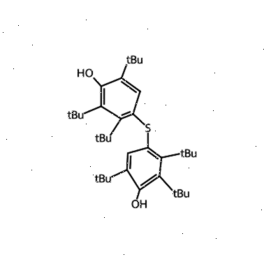 CC(C)(C)c1cc(Sc2cc(C(C)(C)C)c(O)c(C(C)(C)C)c2C(C)(C)C)c(C(C)(C)C)c(C(C)(C)C)c1O